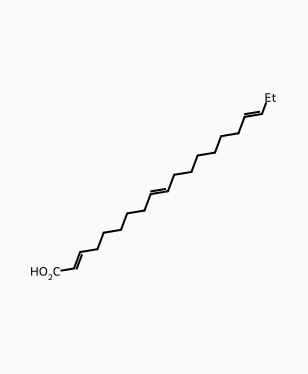 CCC=CCCCCCCC=CCCCCCC=CC(=O)O